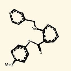 COc1ccc(NC(=O)c2ccccc2NCc2ccncc2)cc1